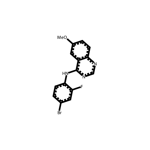 COc1ccc2ncnc(Nc3ccc(Br)cc3F)c2c1